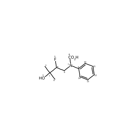 CC(C)(O)C(F)CN(C(=O)O)c1ccccc1